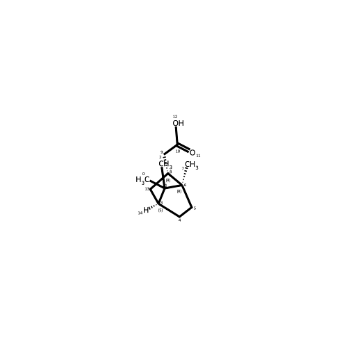 CC1(C)[C@H]2CC[C@]1(C)[C@@H](CC(=O)O)C2